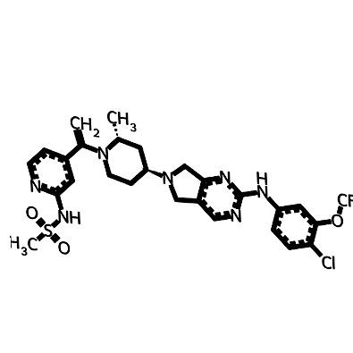 C=C(c1ccnc(NS(C)(=O)=O)c1)N1CC[C@H](N2Cc3cnc(Nc4ccc(Cl)c(OC(F)(F)F)c4)nc3C2)C[C@H]1C